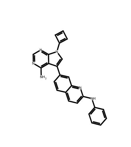 Nc1ncnc2c1c(-c1ccc3ccc(Nc4ccccc4)nc3c1)cn2C1=CC=C1